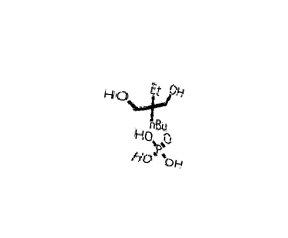 CCCCC(CC)(CO)CO.O=P(O)(O)O